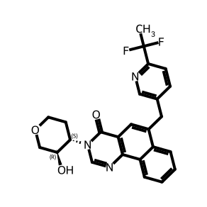 CC(F)(F)c1ccc(Cc2cc3c(=O)n([C@H]4CCOC[C@@H]4O)cnc3c3ccccc23)cn1